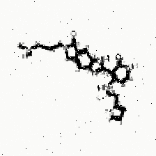 C[C@@H](Cc1cccs1)Nc1cc[nH]c(=O)c1-c1nc2cc3c(cc2[nH]1)C(=O)N(CCCN(C)C)C3